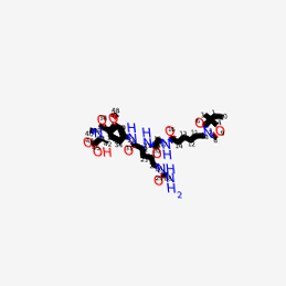 CCC(C)(C)C(=O)N(C=O)CCCCCC(=O)NCC(=O)NC(CCCNC(N)=O)C(=O)Nc1ccc(C(=O)N(C)[C@@H](C)C(=O)O)c(OC)c1